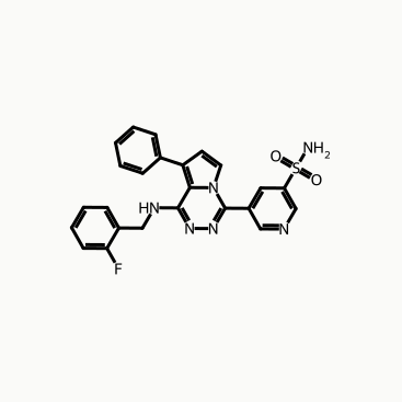 NS(=O)(=O)c1cncc(-c2nnc(NCc3ccccc3F)c3c(-c4ccccc4)ccn23)c1